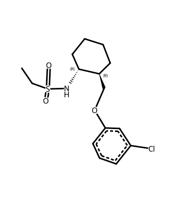 CCS(=O)(=O)N[C@@H]1CCCC[C@H]1COc1cccc(Cl)c1